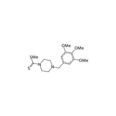 COc1cc(CN2CCN(C(=S)SC)CC2)cc(OC)c1OC